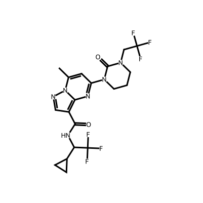 Cc1cc(N2CCCN(CC(F)(F)F)C2=O)nc2c(C(=O)NC(C3CC3)C(F)(F)F)cnn12